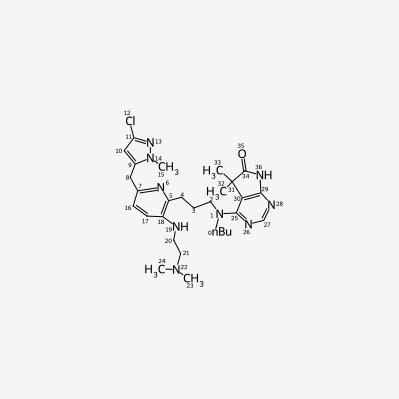 CCCCN(CCCc1nc(Cc2cc(Cl)nn2C)ccc1NCCN(C)C)c1ncnc2c1C(C)(C)C(=O)N2